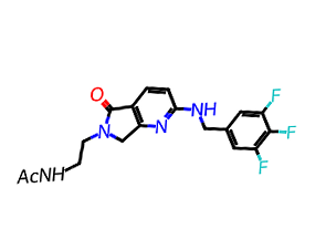 CC(=O)NCCN1Cc2nc(NCc3cc(F)c(F)c(F)c3)ccc2C1=O